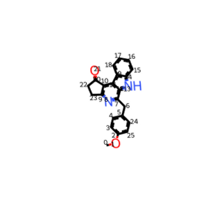 COc1ccc(Cc2nc3c(c4c2[nH]c2ccccc24)C(=O)CC3)cc1